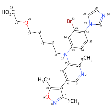 Cc1ncc(-c2c(C)noc2C)cc1N(CCCCCOCC(=O)O)c1ccc(-n2ccnc2)c(Br)c1